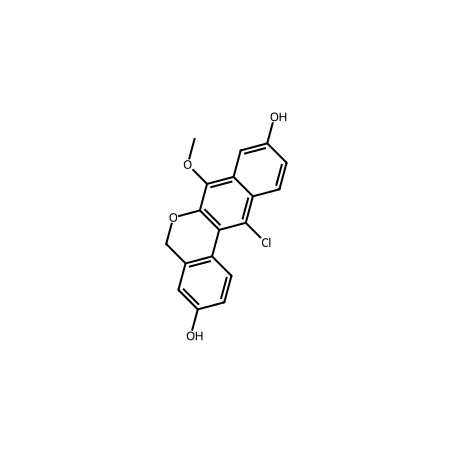 COc1c2c(c(Cl)c3ccc(O)cc13)-c1ccc(O)cc1CO2